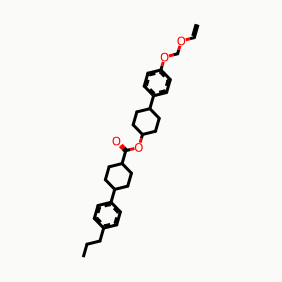 C=COCOc1ccc(C2CCC(OC(=O)C3CCC(c4ccc(CCC)cc4)CC3)CC2)cc1